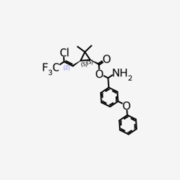 CC1(C)[C@H](/C=C(\Cl)C(F)(F)F)[C@@H]1C(=O)OC(N)c1cccc(Oc2ccccc2)c1